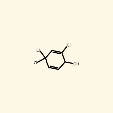 OC1C=CC(Cl)(Cl)C=C1Cl